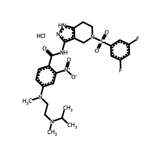 CC(C)N(C)CCN(C)c1ccc(C(=O)Nc2n[nH]c3c2CN(S(=O)(=O)c2cc(F)cc(F)c2)CC3)c([N+](=O)[O-])c1.Cl